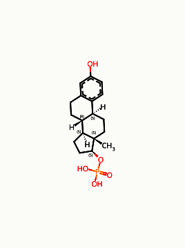 C[C@]12CC[C@@H]3c4ccc(O)cc4CC[C@H]3[C@@H]1CC[C@@H]2OP(=O)(O)O